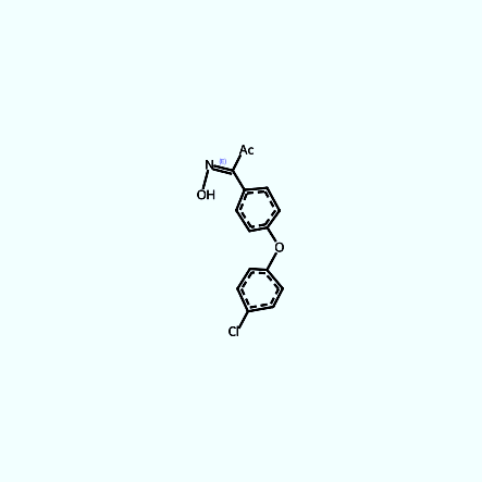 CC(=O)/C(=N/O)c1ccc(Oc2ccc(Cl)cc2)cc1